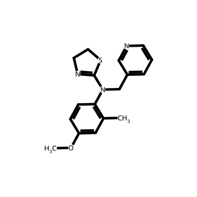 COc1ccc(N(Cc2cccnc2)C2=NCCS2)c(C)c1